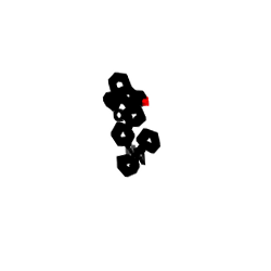 C1=CC2=C(CC1)C1(c3ccccc3Oc3c(-c4cccc(-n5c(-c6ccccc6)nc6ccccc65)c4)cccc31)c1ccccc12